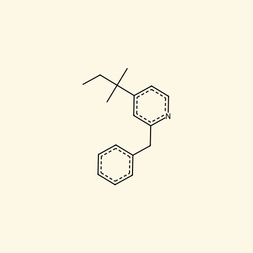 CCC(C)(C)c1ccnc(Cc2ccccc2)c1